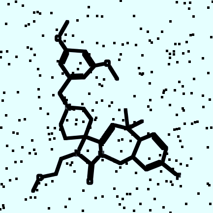 COCCN1C(=O)N2CC3C=C(F)C=CC3C(C)(C)C=C2C12CCN(Cc1cc(OC)cc(OC)c1)CC2